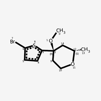 CO[C@]1(c2ccc(Br)s2)CCO[C@@H](C)C1